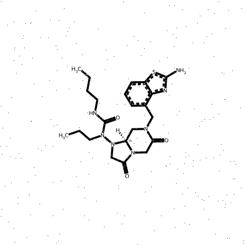 CCCCNC(=O)N(CCC)N1CC(=O)N2CC(=O)N(Cc3cccc4sc(N)nc34)C[C@@H]21